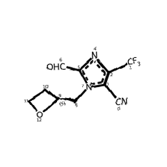 N#Cc1c(C(F)(F)F)nc(C=O)n1C[C@@H]1CCO1